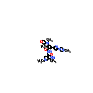 CCN1CCc2c(c(C)[nH]c(=O)c2CNC(=O)c2cc(-c3ccc(N4CCN(C)CC4)nc3)cc(N(CC)C3CCOCC3)c2C)C1